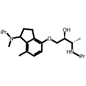 Cc1ccc(OC[C@@H](O)[C@H](C)NC(C)C)c2c1C(N(C)C(C)C)CC2